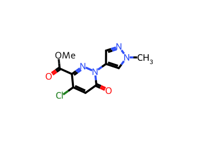 COC(=O)c1nn(-c2cnn(C)c2)c(=O)cc1Cl